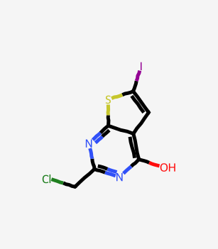 Oc1nc(CCl)nc2sc(I)cc12